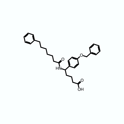 O=C(O)CCCC(NC(=O)CCCCCCc1ccccc1)c1ccc(OCc2ccccc2)cc1